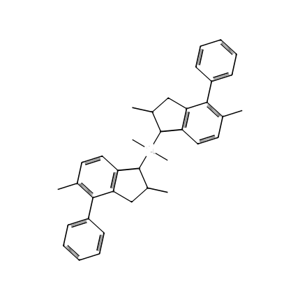 Cc1ccc2c(c1-c1ccccc1)CC(C)C2[Si](C)(C)C1c2ccc(C)c(-c3ccccc3)c2CC1C